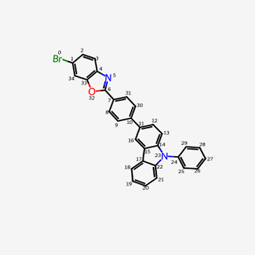 Brc1ccc2nc(-c3ccc(-c4ccc5c(c4)c4ccccc4n5-c4ccccc4)cc3)oc2c1